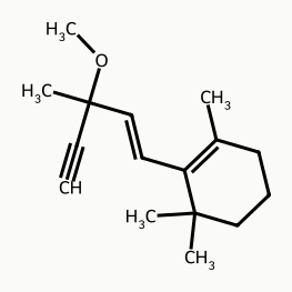 C#CC(C)(C=CC1=C(C)CCCC1(C)C)OC